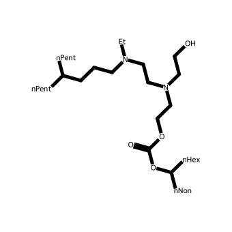 CCCCCCCCCC(CCCCCC)OC(=O)OCCN(CCO)CCN(CC)CCCC(CCCCC)CCCCC